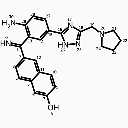 N=C(c1ccc2cc(O)ccc2c1)c1cc(-c2nc(CN3CCCC3)n[nH]2)ccc1N